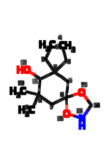 CCC1(CC)CC2(CC(C)(C)C1O)OCNO2